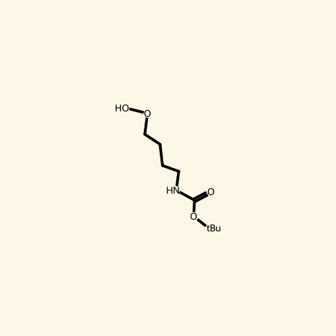 CC(C)(C)OC(=O)NCCCCOO